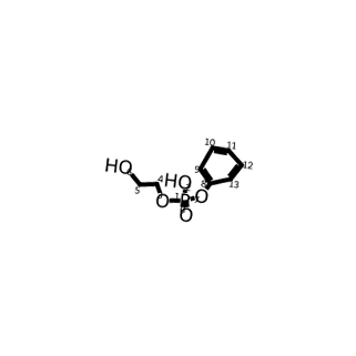 O=P(O)(OCCO)Oc1ccccc1